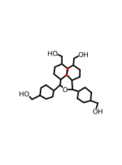 OCC1CCC(C(OC(C2CCC(CO)CC2)C2CCC(CO)CC2)C2CCC(CO)CC2)CC1